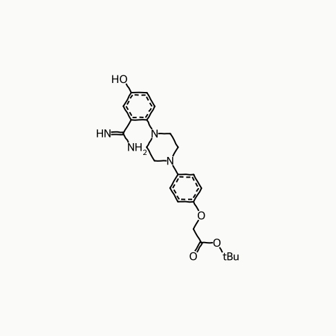 CC(C)(C)OC(=O)COc1ccc(N2CCN(c3ccc(O)cc3C(=N)N)CC2)cc1